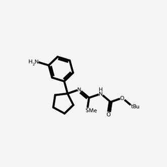 CS/C(=N\C1(c2cccc(N)c2)CCCC1)NC(=O)OC(C)(C)C